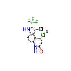 Cc1c(C(F)(F)F)[nH]c2ccc3[nH]c(=O)cc(Cl)c3c12